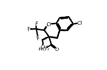 CCC1(C(=O)O)Cc2cc(Cl)ccc2OC1C(F)(F)F